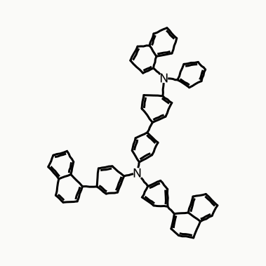 c1ccc(N(c2ccc(-c3ccc(N(c4ccc(-c5cccc6ccccc56)cc4)c4ccc(-c5cccc6ccccc56)cc4)cc3)cc2)c2cccc3ccccc23)cc1